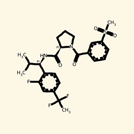 CC(C)[C@@H](NC(=O)[C@H]1CCCN1C(=O)c1cccc(S(C)(=O)=O)c1)c1ccc(C(C)(F)F)cc1F